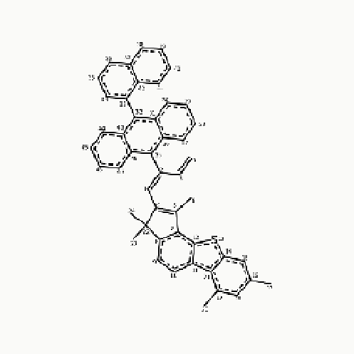 C=C/C(=C\C1=C(C)c2c(ccc3c2sc2cc(C)cc(C)c23)C1(C)C)c1c2ccccc2c(-c2cccc3ccccc23)c2ccccc12